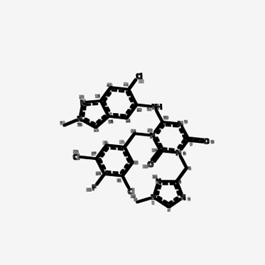 Cn1cnc(Cn2c(=O)nc(Nc3cc4cn(C)nc4cc3Cl)n(Cc3cc(Cl)c(F)c(Cl)c3)c2=O)n1